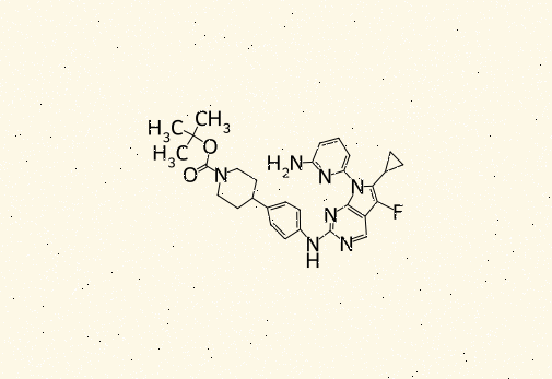 CC(C)(C)OC(=O)N1CCC(c2ccc(Nc3ncc4c(F)c(C5CC5)n(-c5cccc(N)n5)c4n3)cc2)CC1